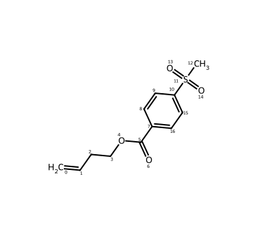 C=CCCOC(=O)c1ccc(S(C)(=O)=O)cc1